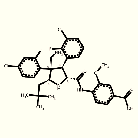 COc1cc(C(=O)O)ccc1NC(=O)[C@@H]1N[C@@H](CC(C)(C)C)[C@](CN)(c2ccc(Cl)cc2F)[C@H]1c1cccc(Cl)c1F